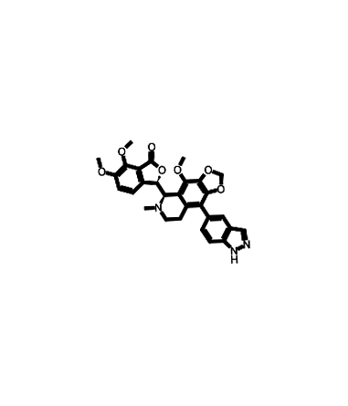 COc1ccc2c(c1OC)C(=O)O[C@@H]2[C@H]1c2c(c(-c3ccc4[nH]ncc4c3)c3c(c2OC)OCO3)CCN1C